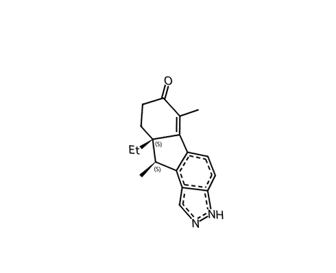 CC[C@@]12CCC(=O)C(C)=C1c1ccc3[nH]ncc3c1[C@H]2C